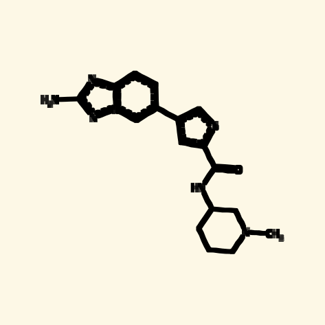 CN1CCCC(NC(=O)c2cc(-c3ccc4nc(N)nn4c3)cs2)C1